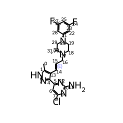 Cc1[nH]nc(-c2cc(Cl)nc(N)n2)c1/C=C/CN1CCN(c2cc(F)cc(F)c2)C[C@H]1C